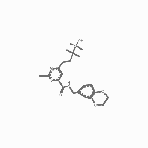 Cc1nc(CCC(C)(C)[Si](C)(C)O)cc(C(=O)NCc2ccc3c(c2)OCCO3)n1